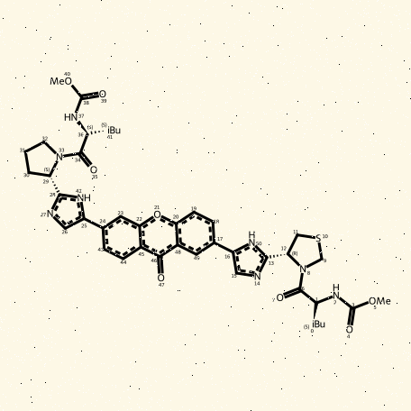 CC[C@H](C)C(NC(=O)OC)C(=O)N1CSC[C@H]1c1ncc(-c2ccc3oc4cc(-c5cnc([C@@H]6CCCN6C(=O)[C@@H](NC(=O)OC)[C@@H](C)CC)[nH]5)ccc4c(=O)c3c2)[nH]1